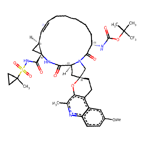 COc1ccc2nc(C)c3c(c2c1)CC[C@]1(C[C@H]2C(=O)N[C@]4(C(=O)NS(=O)(=O)C5(C)CC5)C[C@H]4/C=C\CCCCC[C@H](NC(=O)OC(C)(C)C(F)(F)F)C(=O)N2C1)O3